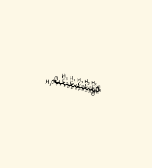 CC(=O)CC/C=C(\C)CC/C=C(\C)CC/C=C(\C)CC/C=C(\C)CC/C=C(\C)C(=O)N1CC=CC1